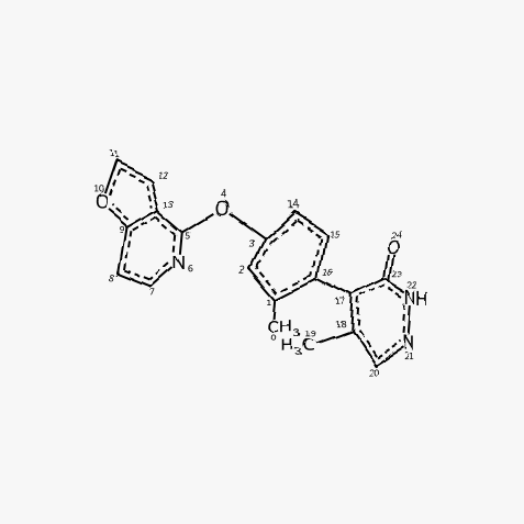 Cc1cc(Oc2nccc3occc23)ccc1-c1c(C)cn[nH]c1=O